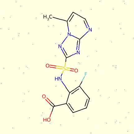 Cc1ccnc2nc(S(=O)(=O)Nc3c(F)cccc3C(=O)O)nn12